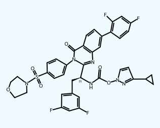 O=C(N[C@@H](Cc1cc(F)cc(F)c1)c1nc2cc(-c3ccc(F)cc3F)ccc2c(=O)n1-c1ccc(S(=O)(=O)N2CCOCC2)cc1)On1ccc(C2CC2)n1